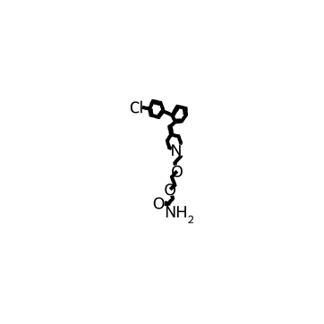 NC(=O)COCCOCCN1CCC(=Cc2ccccc2-c2ccc(Cl)cc2)CC1